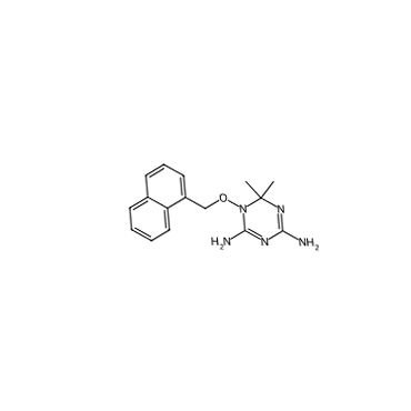 CC1(C)N=C(N)N=C(N)N1OCc1cccc2ccccc12